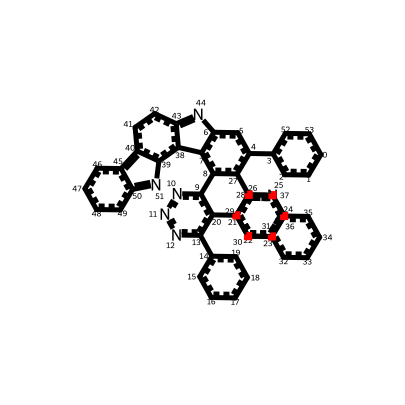 c1ccc(-c2cc3c(c(-c4nnnc(-c5ccccc5)c4-c4ccccc4)c2-c2ccc4ccccc4n2)-c2c4c(ccc2=N3)=c2ccccc2=N4)cc1